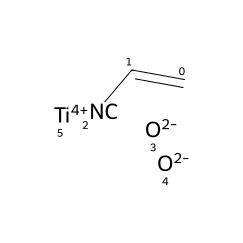 C=CC#N.[O-2].[O-2].[Ti+4]